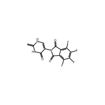 C=C1NC=C(N2C(=O)c3c(F)c(F)c(F)c(F)c3C2=O)C(=O)N1